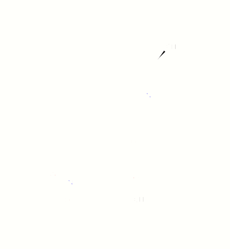 COc1cc([N+](=O)[O-])ccc1OCCN1CC[C@@H](C)C1